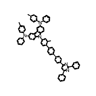 Cc1ccc(N(c2ccccc2)c2ccc3c(c2)c2cc(N(c4ccccc4)c4ccc(C)cc4)ccc2n3-c2ccc(-c3ccc(-c4ccc(-c5cc(-c6ccccc6)nc(-c6ccccc6)n5)cc4)cc3)c(C)c2)cc1